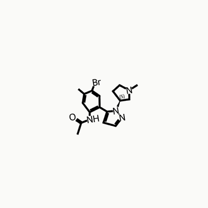 CC(=O)Nc1cc(C)c(Br)cc1-c1ccnn1[C@H]1CCN(C)C1